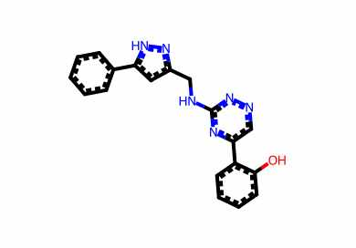 Oc1ccccc1-c1cnnc(NCc2cc(-c3ccccc3)[nH]n2)n1